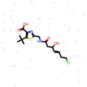 CC(C)(C)c1sc(CNC(=O)CC(O)C=CCCCl)nc1C(=O)O